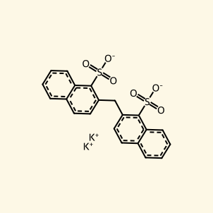 O=S(=O)([O-])c1c(Cc2ccc3ccccc3c2S(=O)(=O)[O-])ccc2ccccc12.[K+].[K+]